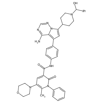 Cc1c(N2CCOCC2)cc(C(=O)Nc2ccc(-c3cc(C4CCN(C(O)C(C)C)CC4)n4ncnc(N)c34)cc2)c(=O)n1-c1ccccc1